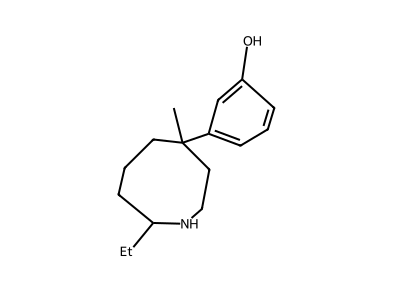 CCC1CCCC(C)(c2cccc(O)c2)CCN1